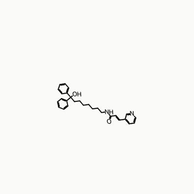 O=C(C=Cc1cccnc1)NCCCCCCCC(O)(c1ccccc1)c1ccccc1